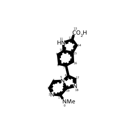 CNc1nccn2c(-c3ccc4[nH]c(C(=O)O)cc4c3)cnc12